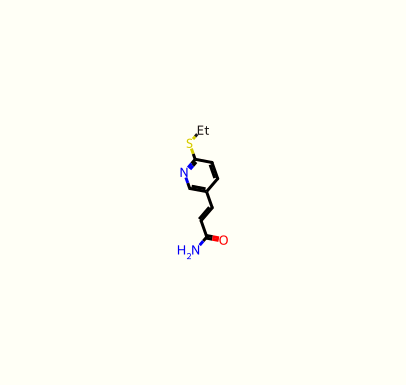 CCSc1ccc(C=CC(N)=O)cn1